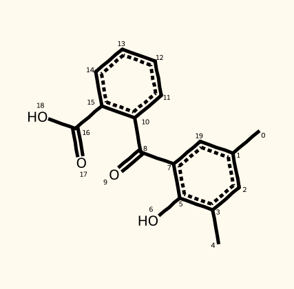 Cc1cc(C)c(O)c(C(=O)c2ccccc2C(=O)O)c1